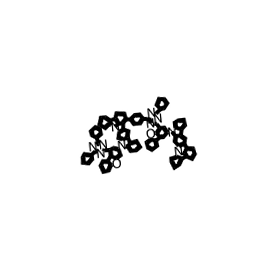 c1ccc(-c2nc(-c3ccc(-c4ccc5c6ccccc6n6c7cc8c(cc7c4c56)c4ccccc4n8-c4cc(-c5nc(-c6ccccc6)nc(-c6ccccc6)n5)c5c(c4)oc4ccccc45)cc3)nc(-c3cc(-n4c5ccccc5c5cc6c7cccc8c9ccccc9n(c6cc54)c87)cc4c3oc3ccccc34)n2)cc1